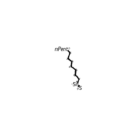 CCCCCCCCCCC[CH2][Sn]=[S]